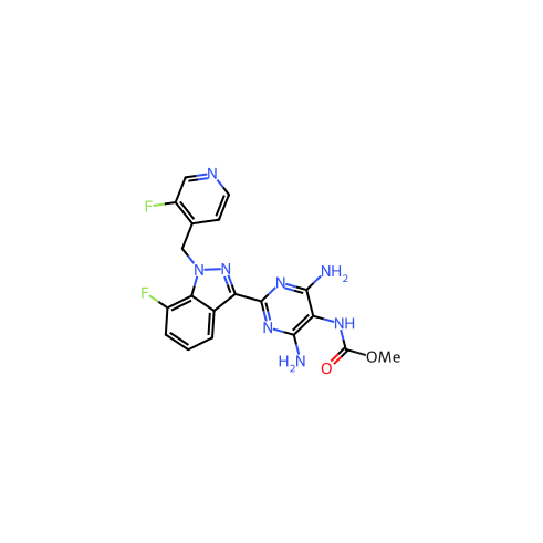 COC(=O)Nc1c(N)nc(-c2nn(Cc3ccncc3F)c3c(F)cccc23)nc1N